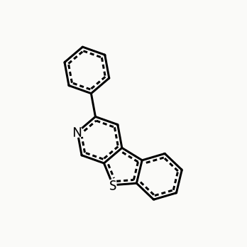 c1ccc(-c2cc3c(cn2)sc2ccccc23)cc1